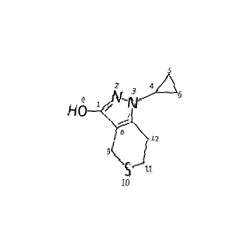 Oc1nn(C2CC2)c2c1CSCC2